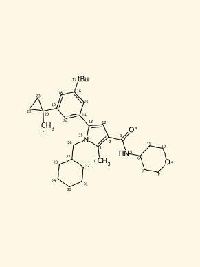 Cc1c(C(=O)NC2CCOCC2)cc(-c2cc(C(C)(C)C)cc(C3(C)CC3)c2)n1CC1CCCCC1